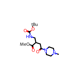 COC(=O)C(CNC(=O)OC(C)(C)C)CC(=O)N1CCN(C)CC1